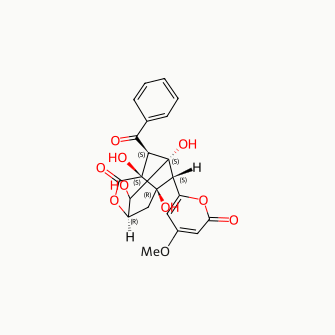 COc1cc([C@H]2[C@@]3(O)C(O)[C@H]4C[C@]2(O)[C@](O)(C(=O)O4)[C@H]3C(=O)c2ccccc2)oc(=O)c1